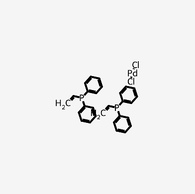 C=CP(c1ccccc1)c1ccccc1.C=CP(c1ccccc1)c1ccccc1.[Cl][Pd][Cl]